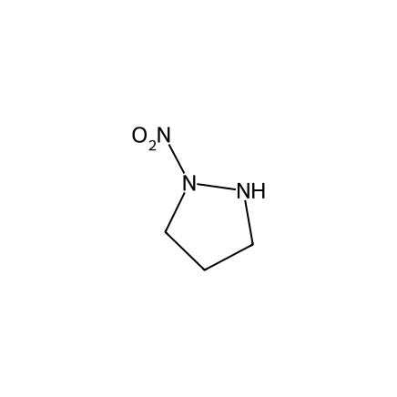 O=[N+]([O-])N1CCCN1